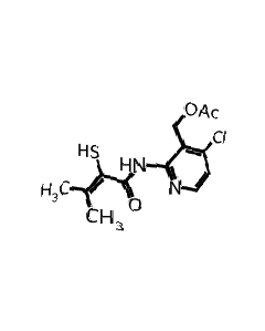 CC(=O)OCc1c(Cl)ccnc1NC(=O)C(S)=C(C)C